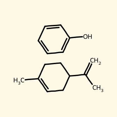 C=C(C)C1CC=C(C)CC1.Oc1ccccc1